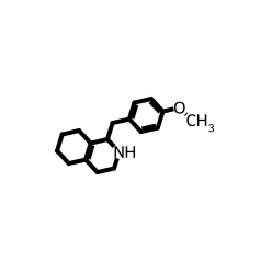 COc1ccc(CC2NCCC3=C2CCCC3)cc1